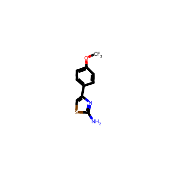 Nc1nc(-c2ccc(OC(F)(F)F)cc2)cs1